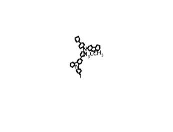 CC1(C)c2ccccc2-c2ccc(N(c3ccc(-c4ccccc4)cc3)c3ccc(-c4ccc5c(c4)c4ccccc4n5-c4ccc(I)cc4)cc3)cc21